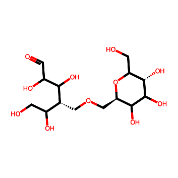 O=CC(O)C(O)[C@H](COC[C@H]1OC(CO)[C@H](O)C(O)C1O)C(O)CO